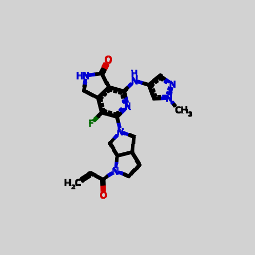 C=CC(=O)N1CCC2CN(c3nc(Nc4cnn(C)c4)c4c(c3F)CNC4=O)CC21